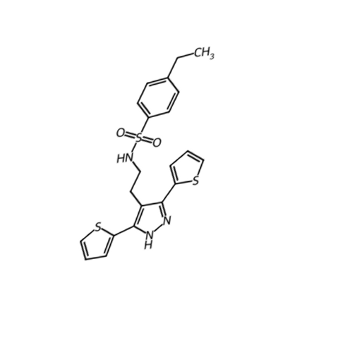 CCc1ccc(S(=O)(=O)NCCc2c(-c3cccs3)n[nH]c2-c2cccs2)cc1